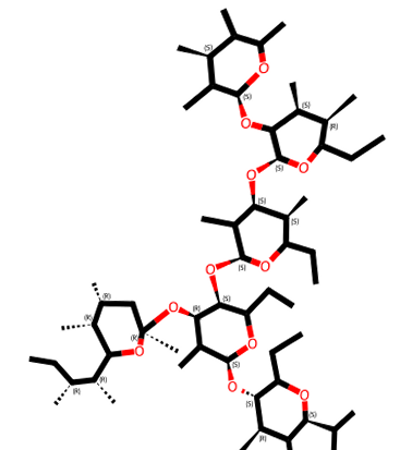 CCC1O[C@@H](C(C)C)C(C)[C@@H](C)[C@@H]1O[C@@H]1OC(CC)[C@H](O[C@@H]2OC(CC)[C@H](C)[C@H](O[C@@H]3OC(CC)[C@H](C)[C@H](C)C3O[C@@H]3OC(C)C(C)[C@H](C)C3C)C2C)[C@H](O[C@]2(C)C[C@@H](C)[C@@H](C)C([C@H](C)[C@H](C)CC)O2)C1C